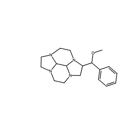 COC(c1ccccc1)C1CN2CCN3CCN4CCN1C2C34